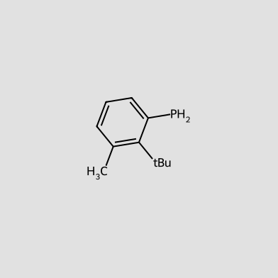 Cc1cccc(P)c1C(C)(C)C